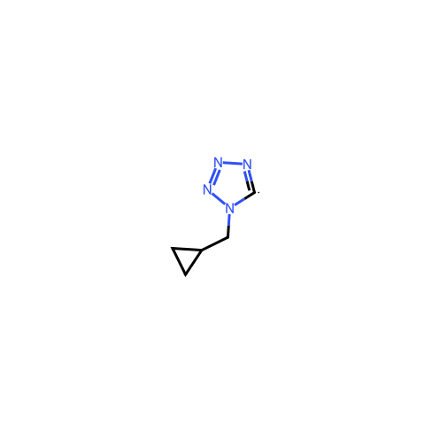 [c]1nnnn1CC1CC1